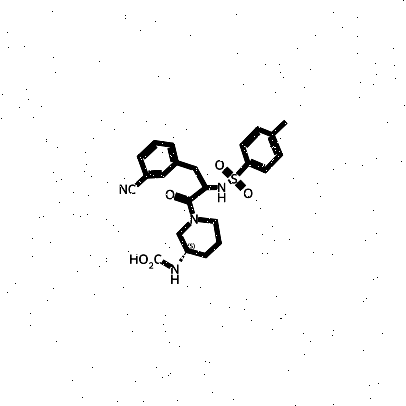 Cc1ccc(S(=O)(=O)NC(Cc2cccc(C#N)c2)C(=O)N2CCC[C@H](NC(=O)O)C2)cc1